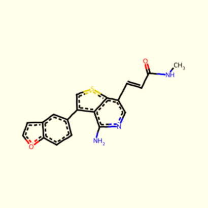 CNC(=O)C=Cc1cnc(N)c2c(-c3ccc4occc4c3)csc12